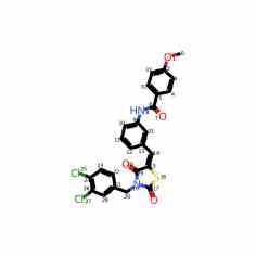 COc1ccc(C(=O)Nc2cccc(C=C3SC(=O)N(Cc4ccc(Cl)c(Cl)c4)C3=O)c2)cc1